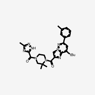 Cc1cccc(-c2cc(C(C)(C)C)c3nc(C(=O)N4CCN(C(=O)c5nc(C)n[nH]5)CC4(C)C)cn3n2)c1